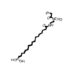 CC(C)CC(=O)N(C=O)CCNC(=O)CCCCCCCCCCCCCC/C=C/P(O)O